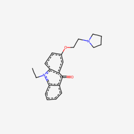 CCn1c2ccccc2c(=O)c2cc(OCCN3CCCC3)ccc21